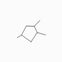 CCCC1CC(S)CC1CC